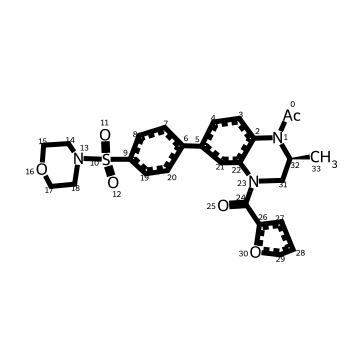 CC(=O)N1c2ccc(-c3ccc(S(=O)(=O)N4CCOCC4)cc3)cc2N(C(=O)c2ccco2)C[C@@H]1C